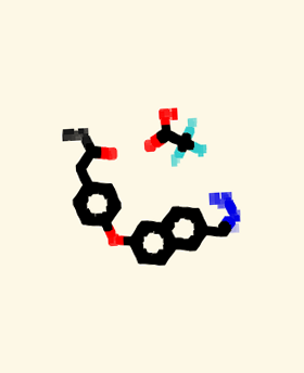 CNC(=O)Cc1ccc(Oc2ccc3cc(/C=N\N)ccc3c2)cc1.O=C(O)C(F)(F)F